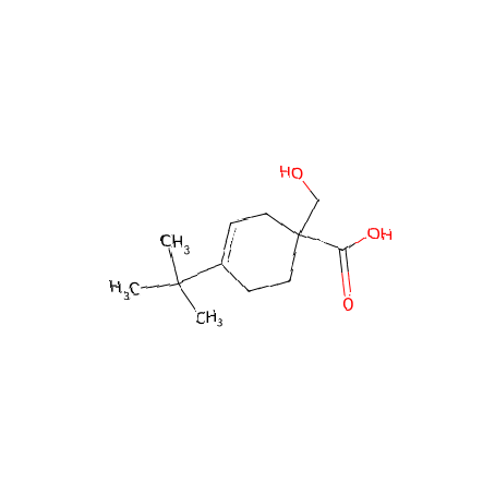 CC(C)(C)C1=CCC(CO)(C(=O)O)CC1